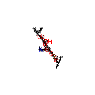 CCCCCC(CCCCC)CCOC(=O)CSCCOCCCC(CCCOC(O)CSCC(=O)OCCC(CCCCC)CCCCC)OC(=O)CCCN(C)C